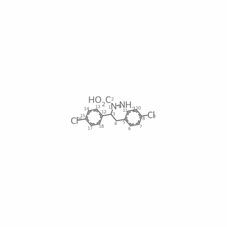 NN(C(=O)O)C(Cc1ccc(Cl)cc1)c1ccc(Cl)cc1